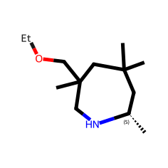 CCOCC1(C)CN[C@@H](C)CC(C)(C)C1